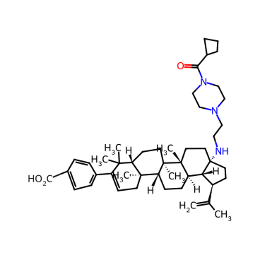 C=C(C)[C@@H]1CC[C@]2(NCCN3CCN(C(=O)C4CCC4)CC3)CC[C@]3(C)[C@H](CC[C@@H]4[C@@]5(C)CC=C(c6ccc(C(=O)O)cc6)C(C)(C)[C@@H]5CC[C@]43C)[C@@H]12